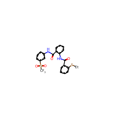 CCSc1ccccc1C(=O)Nc1ccccc1C(=O)Nc1cccc(S(=O)(=O)C(F)(F)F)c1